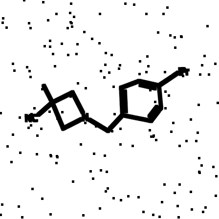 CC(C)c1ccc(CN2CC(C)(C#N)C2)cc1